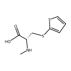 CN[C@@H](CSc1cccs1)C(=O)O